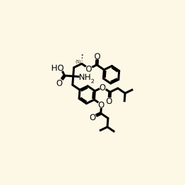 CC(C)CC(=O)Oc1ccc(CC(N)(C[C@H](C)OC(=O)c2ccccc2)C(=O)O)cc1OC(=O)CC(C)C